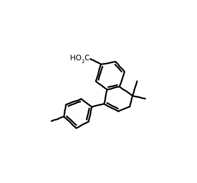 Cc1ccc(C2=CCC(C)(C)c3ccc(C(=O)O)cc32)cc1